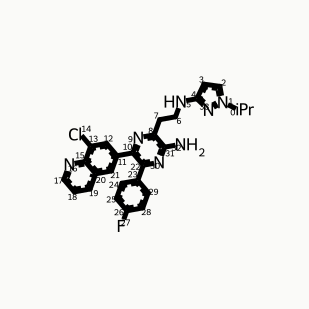 CC(C)n1ccc(NCCc2nc(-c3cc(Cl)c4ncccc4c3)c(-c3ccc(F)cc3)nc2N)n1